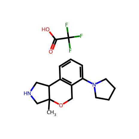 CC12CNCC1c1cccc(N3CCCC3)c1CO2.O=C(O)C(F)(F)F